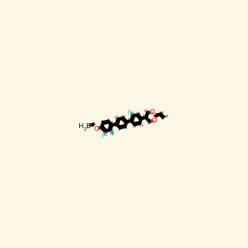 BCOc1ccc(-c2ccc(-c3ccc(C4COC(C=C)OC4)cc3F)cc2)c(F)c1F